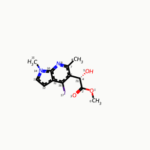 COC(=O)[C@@H](O)c1c(C)nc2c(ccn2C)c1I